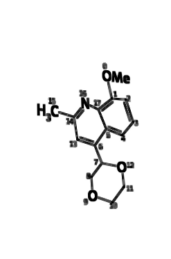 COc1cccc2c(C3COCCO3)cc(C)nc12